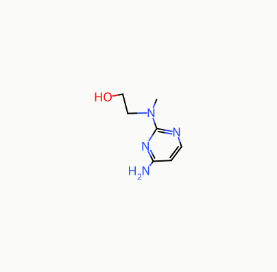 CN(CCO)c1nccc(N)n1